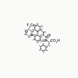 O=C(O)[C@H](Cc1ccccc1)N(Cc1ccc(N2CCOCC2)cc1)C(=O)C=Cc1ccc(C(F)(F)F)cc1